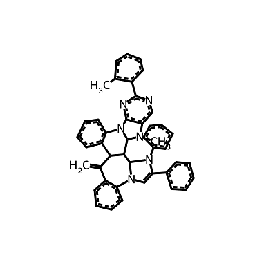 C=C1c2ccccc2N2C=C(c3ccccc3)N(c3ccccc3)C2C2C1c1ccccc1N1c3nc(-c4ccccc4C)ncc3N(C)C21